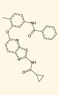 Cc1ccc(NC(=O)c2ccccc2)cc1Oc1ccc2nc(NC(=O)C3CC3)sc2n1